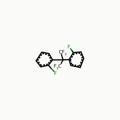 Fc1ccccc1C(c1ccccc1F)(C(F)(F)F)C(F)(F)F